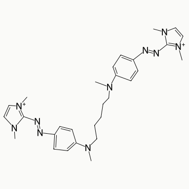 CN(CCCCCN(C)c1ccc(N=Nc2n(C)cc[n+]2C)cc1)c1ccc(N=Nc2n(C)cc[n+]2C)cc1